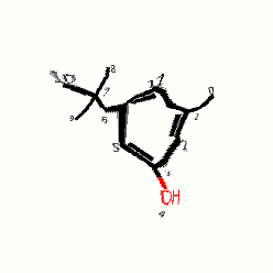 Cc1cc(O)cc(C(C)(C)C)c1